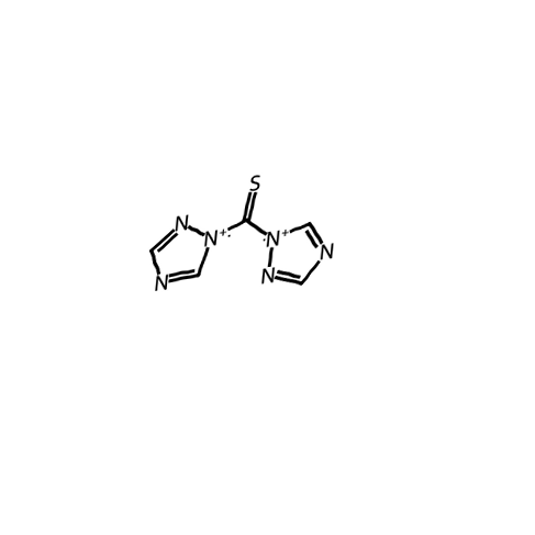 S=C([N+]1C=NC=N1)[N+]1C=NC=N1